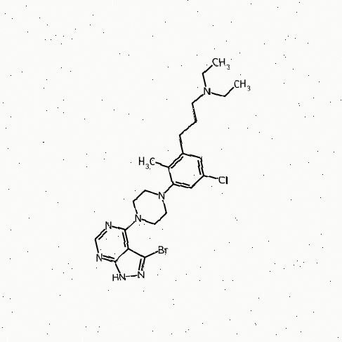 CCN(CC)CCCc1cc(Cl)cc(N2CCN(c3ncnc4[nH]nc(Br)c34)CC2)c1C